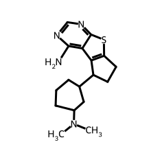 CN(C)C1CCCC(C2CCc3sc4ncnc(N)c4c32)C1